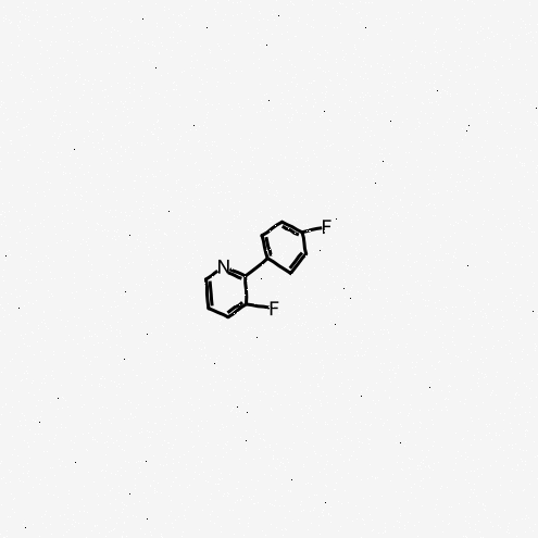 Fc1ccc(-c2ncccc2F)cc1